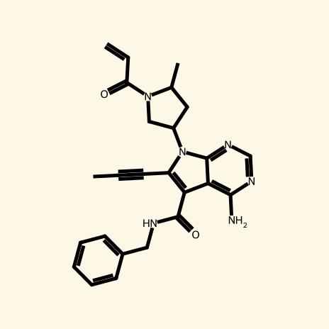 C=CC(=O)N1CC(n2c(C#CC)c(C(=O)NCc3ccccc3)c3c(N)ncnc32)CC1C